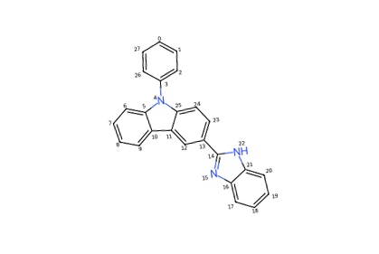 c1ccc(-n2c3ccccc3c3cc(-c4nc5ccccc5[nH]4)ccc32)cc1